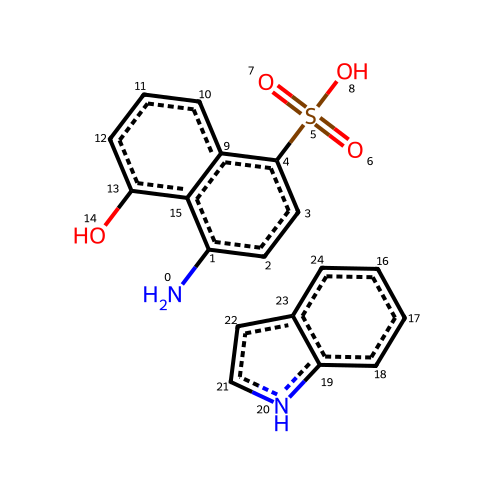 Nc1ccc(S(=O)(=O)O)c2cccc(O)c12.c1ccc2[nH]ccc2c1